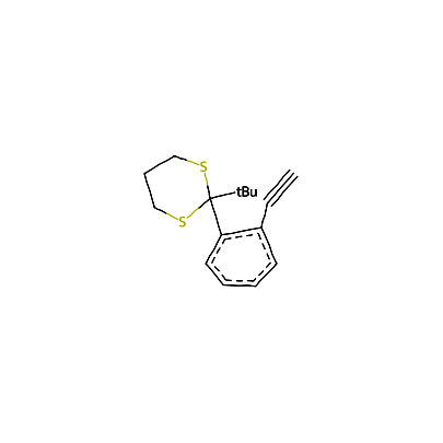 C#Cc1ccccc1C1(C(C)(C)C)SCCCS1